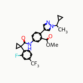 COC(=O)c1cc(NC(=O)C2(c3ccc(C(F)(F)F)cc3F)CC2)ccc1-c1cnn(C(C)C2CC2)c1